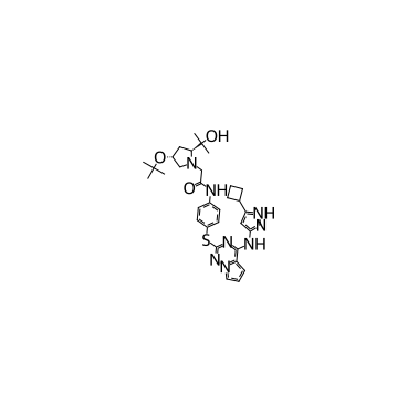 CC(C)(C)O[C@@H]1C[C@@H](C(C)(C)O)N(CC(=O)Nc2ccc(Sc3nc(Nc4cc(C5CCC5)[nH]n4)c4cccn4n3)cc2)C1